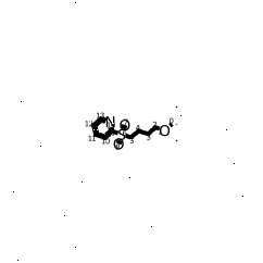 [C]OCCCCS(=O)(=O)c1ccccn1